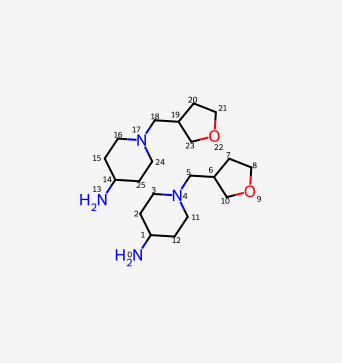 NC1CCN(CC2CCOC2)CC1.NC1CCN(CC2CCOC2)CC1